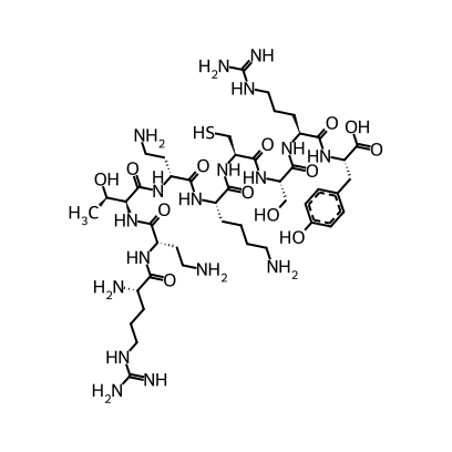 C[C@@H](O)[C@H](NC(=O)[C@H](CCN)NC(=O)[C@@H](N)CCCNC(=N)N)C(=O)N[C@H](CCN)C(=O)N[C@@H](CCCCN)C(=O)N[C@@H](CS)C(=O)N[C@@H](CO)C(=O)N[C@@H](CCCNC(=N)N)C(=O)N[C@@H](Cc1ccc(O)cc1)C(=O)O